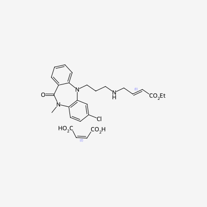 CCOC(=O)/C=C/CNCCCN1c2ccccc2C(=O)N(C)c2ccc(Cl)cc21.O=C(O)/C=C\C(=O)O